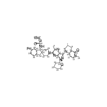 Cc1nc2c(N3CCCc4c3ccn(C)c4=O)nn(C3CCCCO3)c2nc1N1CCC2(CC1)Cc1ccc(F)cc1[C@H]2NC(=O)OC(C)(C)C